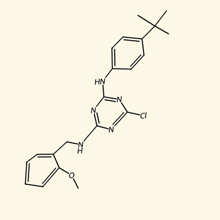 COc1ccccc1CNc1nc(Cl)nc(Nc2ccc(C(C)(C)C)cc2)n1